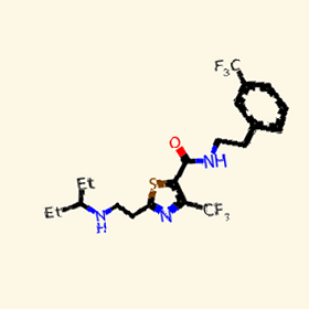 CCC(CC)NCCc1nc(C(F)(F)F)c(C(=O)NCCc2cccc(C(F)(F)F)c2)s1